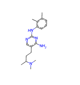 Cc1cccc(Nc2ncc(CCC(C)N(C)C)c(N)n2)c1C